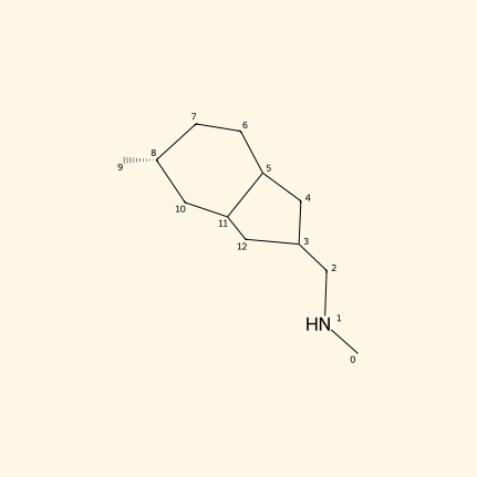 CNCC1CC2CC[C@@H](C)CC2C1